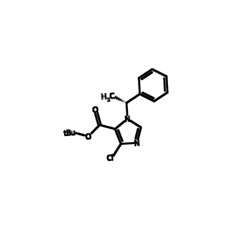 C[C@H](c1ccccc1)n1cnc(Cl)c1C(=O)OC(C)(C)C